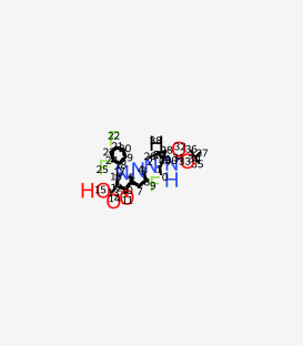 CC1N(c2nc3c(cc2F)c(=O)c(C(=O)O)cn3-c2ccc(F)cc2F)C[C@H]2C[C@@]12NC(=O)OC(C)(C)C